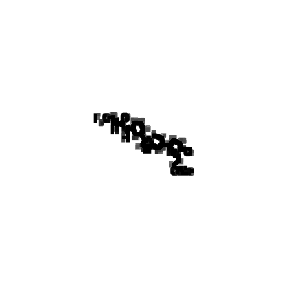 COCCn1nc(-c2ccn3c(-c4cccc(NC(=O)NCC(F)(F)F)c4)cnc3c2)ccc1=O